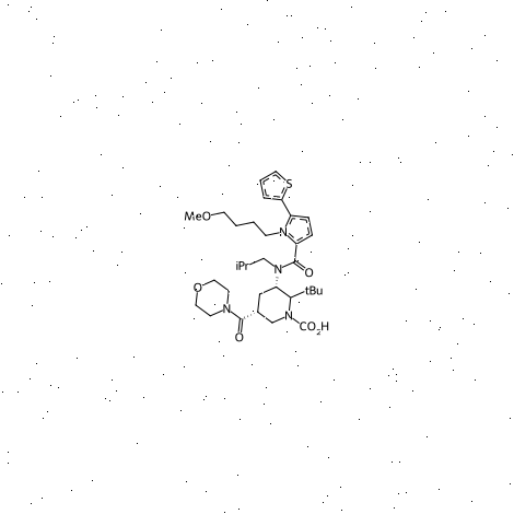 COCCCCn1c(C(=O)N(CC(C)C)[C@H]2C[C@@H](C(=O)N3CCOCC3)CN(C(=O)O)C2C(C)(C)C)ccc1-c1cccs1